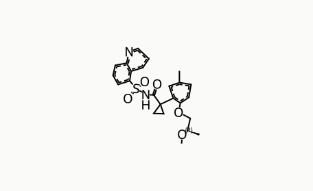 CO[C@H](C)COc1ccc(C)cc1C1(C(=O)NS(=O)(=O)c2cccc3ncccc23)CC1